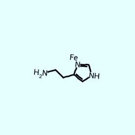 NCCc1c[nH]cn1.[Fe]